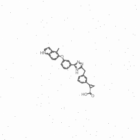 Cc1c(Oc2cccc(-c3nnc(Cc4cccc(C5C[C@H]5C(=O)O)c4)[nH]3)c2)ccc2[nH]ccc12